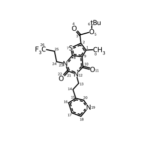 Cc1c(C(=O)OC(C)(C)C)sc2c1c(=O)n(CCc1cccnc1)c(=O)n2CCC(F)(F)F